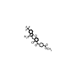 COC(=O)C1CCN(C(=O)c2ccc(Cl)c(Cc3cc4ccc(C(F)(F)F)cc4n3C)c2Cl)CC1